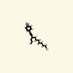 [CH2]CCC(C#Cc1ccc(Br)cc1)CCCCCCCC